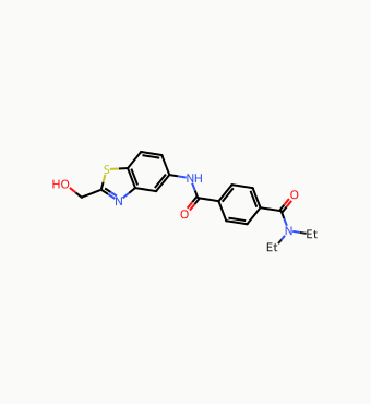 CCN(CC)C(=O)c1ccc(C(=O)Nc2ccc3sc(CO)nc3c2)cc1